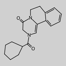 O=C(C1CCCCC1)N1C=C2c3ccccc3CCN2C(=O)C1